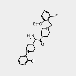 CCOc1cccc(F)c1CN1CCN(C(=O)[C@H](N)C2CCN(c3ccccc3Cl)CC2)CC1